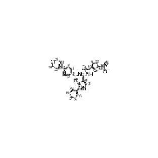 O=C(Nc1nc(-c2ccc(N3CCOCC3)nc2)nc2c1cnn2-c1ccccc1)c1ccc([N+](=O)[O-])s1